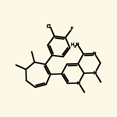 CC1CC=CC(C2=CN(C)C3C(=C2)C(N)=NCN3C)=C(c2ccc(F)c(Cl)c2)C1C